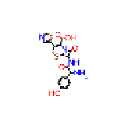 NC(C(=O)NC1C(=O)N2C(C(=O)O)=C(c3cncs3)CSC12)c1ccc(O)cc1